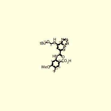 COc1cc(NC(=O)c2cc(NCOC(C)(C)C)c3nnnn3n2)c(C(=O)O)cc1F